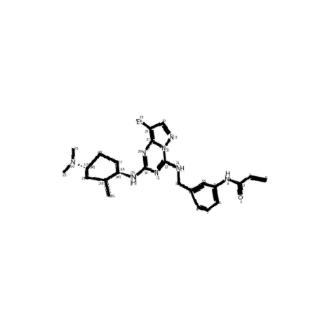 C=CC(=O)Nc1cccc(CNc2nc(N[C@@H]3CC[C@@H](N(C)C)CC3C)nc3c(CC)cnn23)c1